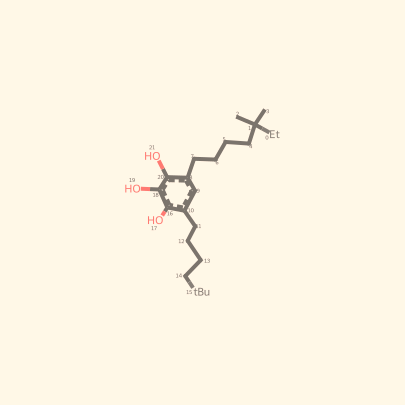 CCC(C)(C)CCCCc1cc(CCCCC(C)(C)C)c(O)c(O)c1O